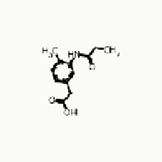 CCC(=O)Nc1cc(CC(=O)O)ccc1C